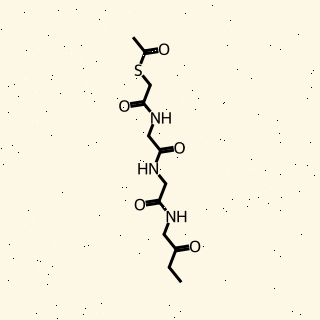 CCC(=O)CNC(=O)CNC(=O)CNC(=O)CSC(C)=O